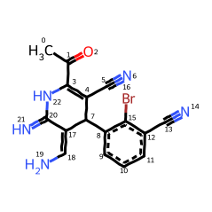 CC(=O)C1=C(C#N)C(c2cccc(C#N)c2Br)/C(=C/N)C(=N)N1